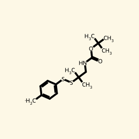 [CH2]c1ccc(SSC(C)(C)CNC(=O)OC(C)(C)C)cc1